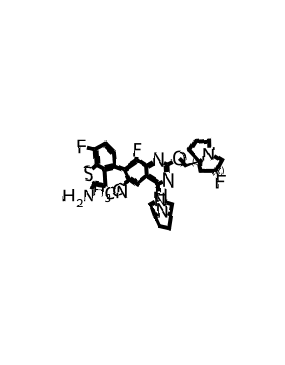 Cc1cc2c(N3CC4CCC(C3)N4)nc(OC[C@@]34CCCN3C[C@H](F)C4)nc2c(F)c1-c1ccc(F)c2sc(N)c(C#N)c12